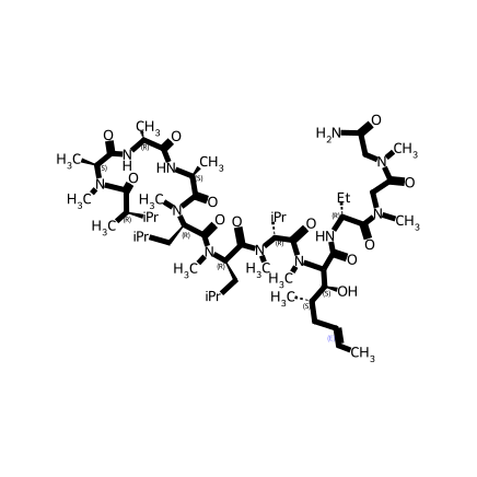 C/C=C/C[C@H](C)[C@H](O)C(C(=O)N[C@H](CC)C(=O)N(C)CC(=O)N(C)CC(N)=O)N(C)C(=O)[C@@H](C(C)C)N(C)C(=O)[C@@H](CC(C)C)N(C)C(=O)[C@@H](CC(C)C)N(C)C(=O)[C@H](C)NC(=O)[C@@H](C)NC(=O)[C@H](C)N(C)C(=O)[C@H](C)C(C)C